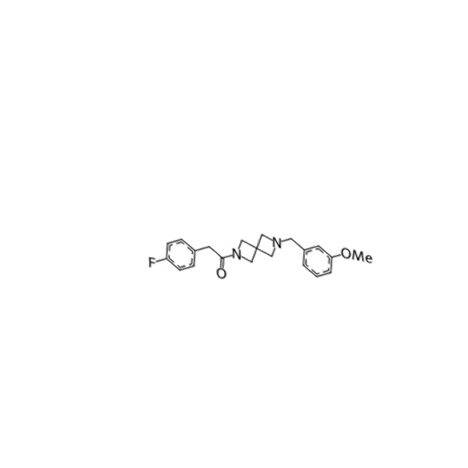 COc1cccc(CN2CC3(C2)CN(C(=O)Cc2ccc(F)cc2)C3)c1